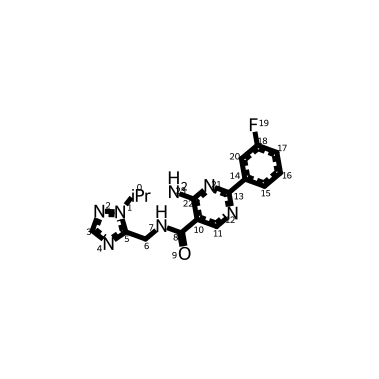 CC(C)n1ncnc1CNC(=O)c1cnc(-c2cccc(F)c2)nc1N